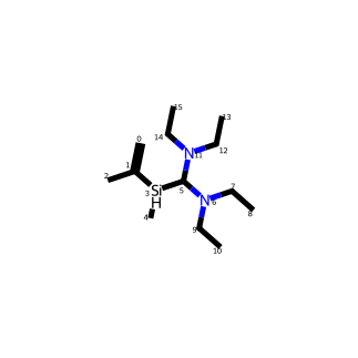 C=C(C)[SiH](C)C(N(CC)CC)N(CC)CC